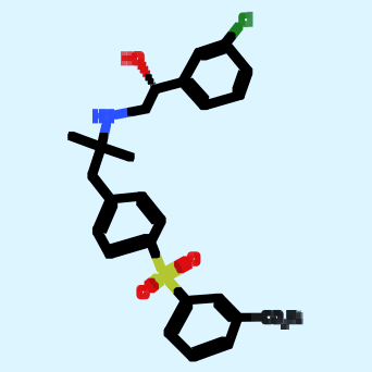 CCOC(=O)c1cccc(S(=O)(=O)c2ccc(CC(C)(C)NC[C@H](O)c3cccc(Cl)c3)cc2)c1